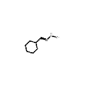 CNN=CC1CCCCC1